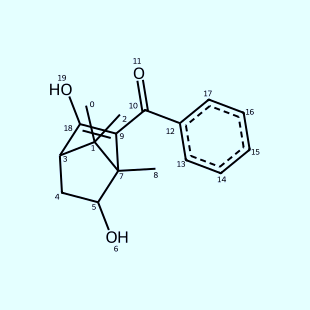 CC1(C)C2CC(O)C1(C)C(C(=O)c1ccccc1)=C2O